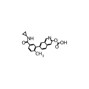 Cc1ccc(C(=O)NC2CC2)cc1-c1ccc2cc(OC(=O)O)ncc2c1